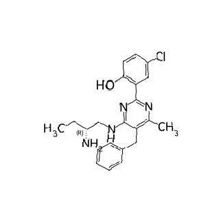 CC[C@@H](N)CNc1nc(-c2cc(Cl)ccc2O)nc(C)c1Cc1ccccc1